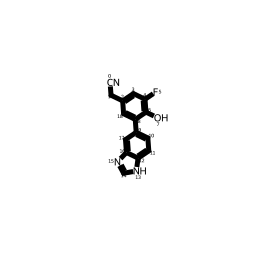 N#CCc1cc(F)c(O)c(-c2ccc3[nH]cnc3c2)c1